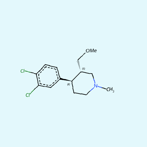 COC[C@@H]1CN(C)CC[C@H]1c1ccc(Cl)c(Cl)c1